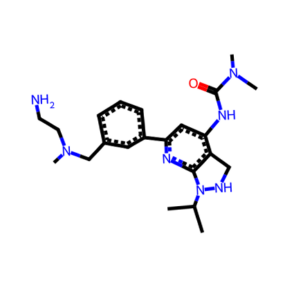 CC(C)N1NCc2c(NC(=O)N(C)C)cc(-c3cccc(CN(C)CCN)c3)nc21